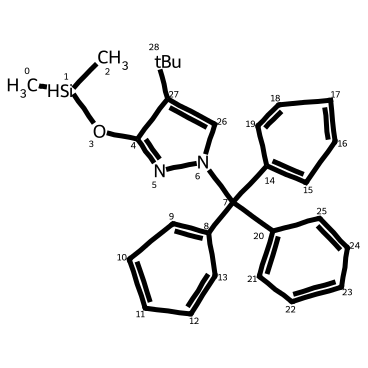 C[SiH](C)Oc1nn(C(c2ccccc2)(c2ccccc2)c2ccccc2)cc1C(C)(C)C